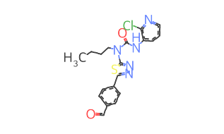 CCCCN(C(=O)Nc1cccnc1Cl)c1nnc(-c2ccc(C=O)cc2)s1